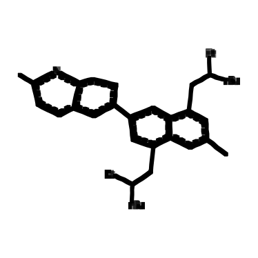 CCCCC(CC)Cc1cc(-c2ccc3nc(C)ccc3c2)cc2c(CC(CC)CCCC)cc(C)cc12